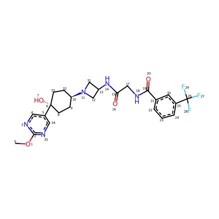 COc1ncc([C@]2(O)CC[C@H](N3CC(NC(=O)CNC(=O)c4cccc(C(F)(F)F)c4)C3)CC2)cn1